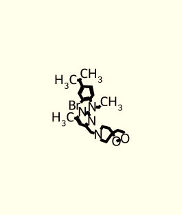 CCN(c1nc(C)cc(CN2CCC3(CCOO3)CC2)n1)c1ccc(C(C)C)cc1Br